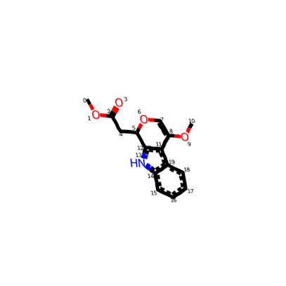 COC(=O)CC1OC=C(OC)c2c1[nH]c1ccccc21